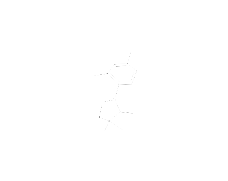 CC1N(c2ccc(Cl)cc2Cl)OCC1(C)C